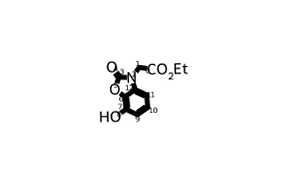 CCOC(=O)Cn1c(=O)oc2c(O)cccc21